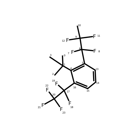 CC(C)(C)c1c(C(F)(F)C(C)(F)F)cccc1C(F)(F)C(F)(F)F